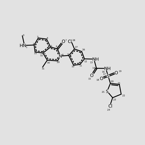 CNc1ccc2c(=O)n(-c3ccc(NC(=O)NS(=O)(=O)C4=CCC(Cl)S4)cc3Cl)cc(C)c2c1